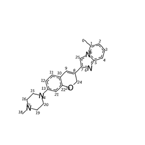 Cc1cccc2nc(C3=Cc4ccc(N5CCN(C)CC5)cc4OC3)cn12